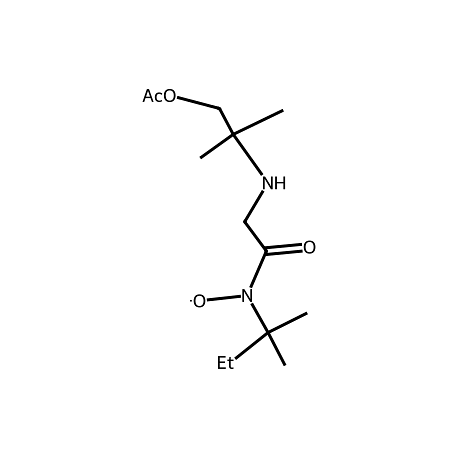 CCC(C)(C)N([O])C(=O)CNC(C)(C)COC(C)=O